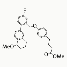 COC(=O)CCCc1ccc(OCc2cc(F)ccc2-c2ccc3c(c2)CCCC3OC)cc1